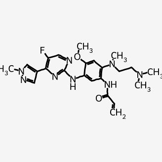 C=CC(=O)Nc1cc(Nc2ncc(F)c(-c3cnn(C)c3)n2)c(OC)cc1N(C)CCN(C)C